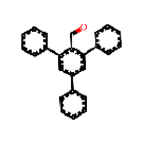 O=Cc1c(-c2ccccc2)cc(-c2ccccc2)cc1-c1ccccc1